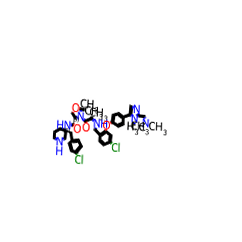 CC(NCc1ccc(Cl)cc1Oc1ccc(-c2cnc(CN(C)C)n2C)cc1)C(=O)N1[C@H](C(=O)N[C@@]2(Cc3ccc(Cl)cc3)CCCNC2)COC1(C)C